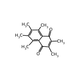 CC1=C(C)C(=O)c2c(C)c(C)c(C)c(C)c2C1=O